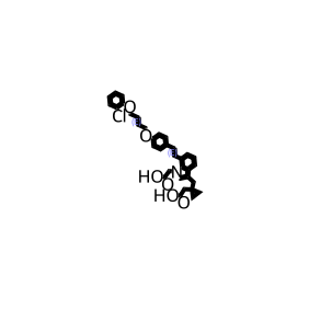 O=C(O)Cn1cc(CC2(CC(=O)O)CC2)c2cccc(/C=C/c3ccc(OC/C=C/COc4ccccc4Cl)cc3)c21